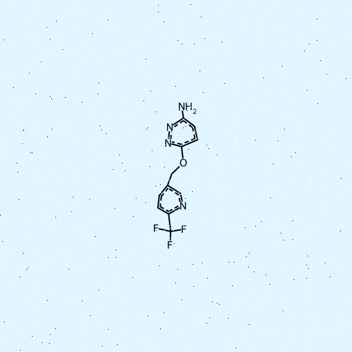 Nc1ccc(OCc2ccc(C(F)(F)F)nc2)nn1